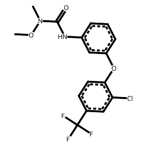 CON(C)C(=O)Nc1cccc(Oc2ccc(C(F)(F)F)cc2Cl)c1